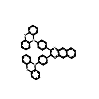 c1ccc2c(c1)Sc1ccccc1N2c1ccc(-c2nc3cc4ccccc4cc3nc2-c2ccc(N3c4ccccc4Sc4ccccc43)cc2)cc1